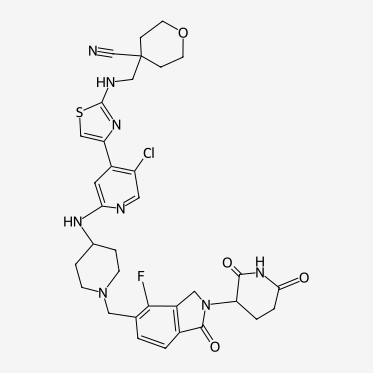 N#CC1(CNc2nc(-c3cc(NC4CCN(Cc5ccc6c(c5F)CN(C5CCC(=O)NC5=O)C6=O)CC4)ncc3Cl)cs2)CCOCC1